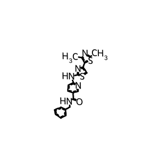 Cc1nc(C)c(-c2csc(Nc3ccc(C(=O)NCc4ccccc4)cn3)n2)s1